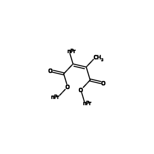 CCCOC(=O)C(C)=C(CCC)C(=O)OCCC